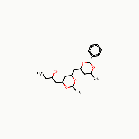 CCC(O)CC1CC(CC2CC(C)O[C@@H](c3ccccc3)O2)O[C@@H](C)O1